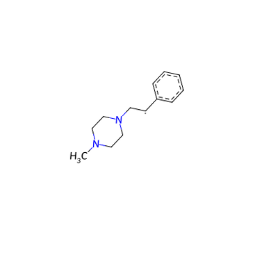 CN1CCN(C[CH]c2ccccc2)CC1